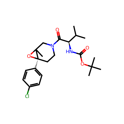 CC(C)[C@@H](NC(=O)OC(C)(C)C)C(=O)N1CC[C@@]2(c3ccc(Cl)cc3)OC2(C)C1